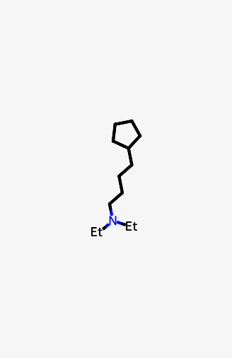 CCN(CC)CCCCC1CCCC1